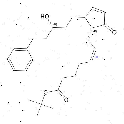 CC(C)(C)OC(=O)CCC/C=C\C[C@H]1C(=O)C=CC1CC[C@@H](O)CCc1ccccc1